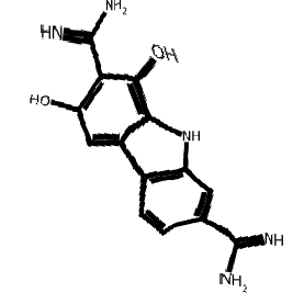 N=C(N)c1ccc2c(c1)[nH]c1c(O)c(C(=N)N)c(O)cc12